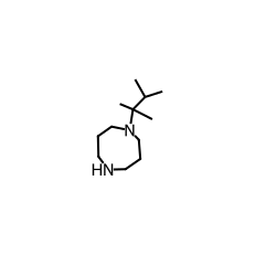 CC(C)C(C)(C)N1CCCNCCC1